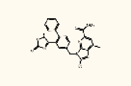 CCc1nc2c(C)cc(C(=O)OC)nc2n1Cc1ccc(-c2ccccc2)c(-c2nc(=O)o[nH]2)c1